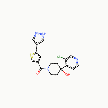 O=C(c1csc(-c2cn[nH]c2)c1)N1CCC(O)(c2ccncc2Cl)CC1